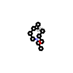 CC1(C)c2ccccc2-c2ccc(-c3cccc(-c4cccc(N(c5ccc(-c6ccccc6)cc5)c5ccc(-c6ccccc6)cc5-c5ccccc5)c4)c3)cc21